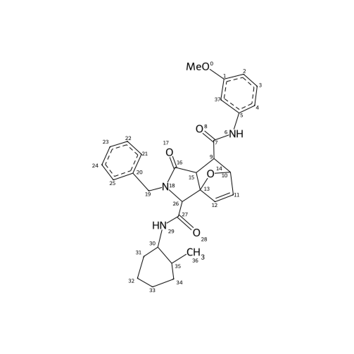 COc1cccc(NC(=O)C2C3C=CC4(O3)C2C(=O)N(Cc2ccccc2)C4C(=O)NC2CCCCC2C)c1